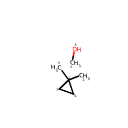 CC1(C)CC1.CO